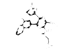 CCN(CC)CCC(=O)Nc1nc(-c2cc(Cl)c3ncccc3c2)c(-c2ccn(C)n2)nc1N